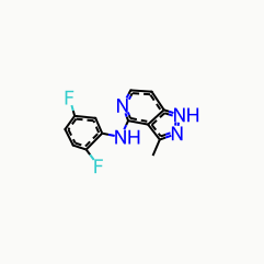 Cc1n[nH]c2ccnc(Nc3cc(F)ccc3F)c12